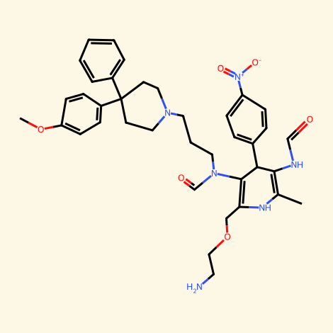 COc1ccc(C2(c3ccccc3)CCN(CCCN(C=O)C3=C(COCCN)NC(C)=C(NC=O)C3c3ccc([N+](=O)[O-])cc3)CC2)cc1